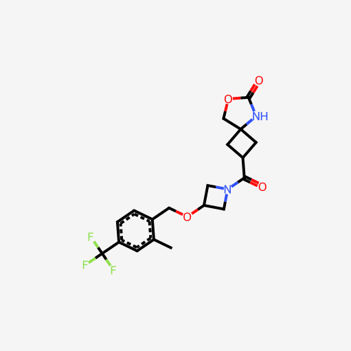 Cc1cc(C(F)(F)F)ccc1COC1CN(C(=O)C2CC3(COC(=O)N3)C2)C1